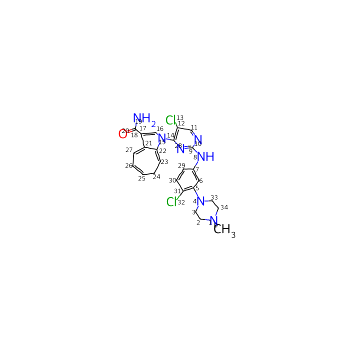 CN1CCN(c2cc(Nc3ncc(Cl)c(-n4cc(C(N)=O)c5c4=CCC=CC=5)n3)ccc2Cl)CC1